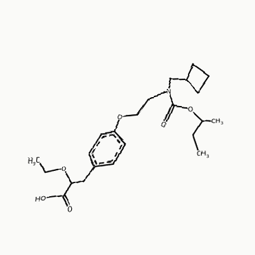 CCOC(Cc1ccc(OCCN(CC2CCC2)C(=O)OC(C)CC)cc1)C(=O)O